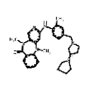 Cc1cc(CN2CC[C@@H](N3CCCC3)C2)ccc1Nc1cc2c(cn1)N(C)C(=O)c1ccccc1N2C